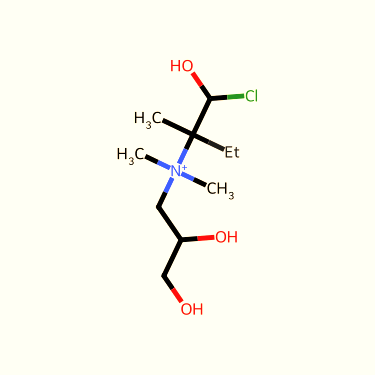 CCC(C)(C(O)Cl)[N+](C)(C)CC(O)CO